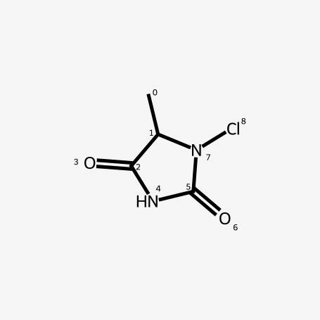 CC1C(=O)NC(=O)N1Cl